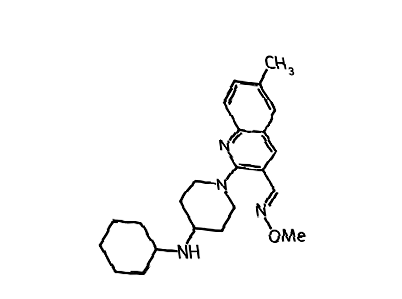 CO/N=C/c1cc2cc(C)ccc2nc1N1CCC(NC2CCCCC2)CC1